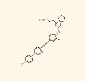 Cc1cc(C#Cc2ccc(-c3ccc(Cl)cc3)cn2)ccc1OCCC1(NCCCO)CCCC1